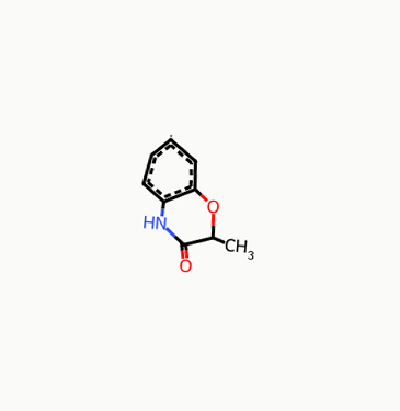 CC1Oc2c[c]ccc2NC1=O